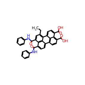 CCc1cc(C(=O)Nc2ccccc2)c2c(C(=O)Nc3ccccc3)ccc3c4ccc(C(=O)O)c5c(C(=O)O)ccc(c1c23)c54